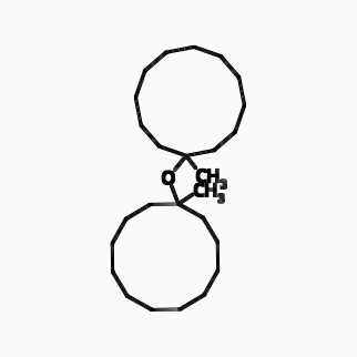 CC1(OC2(C)CCCCCCCCCCC2)CCCCCCCCCCC1